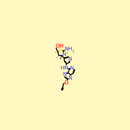 C#CCOc1cnc2c(Nc3cnc(F)c([C@@]4(C)N=C(N)S[C@](C)(CO)[C@H]4C)c3)nccc2n1